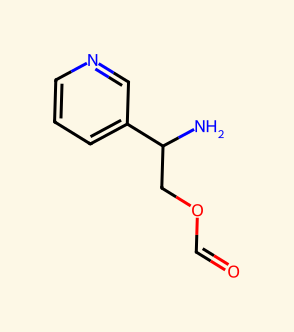 NC(COC=O)c1cccnc1